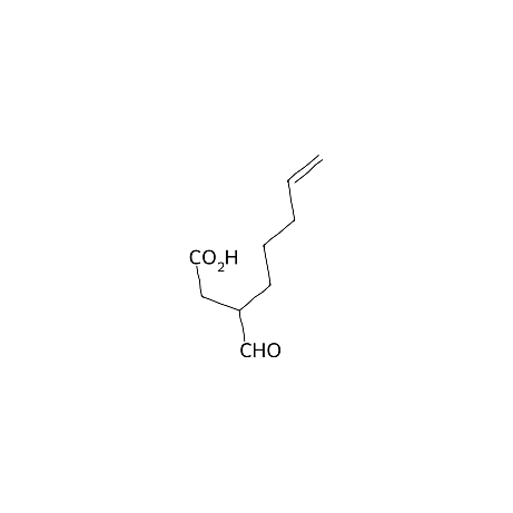 C=CCCCC(C=O)CC(=O)O